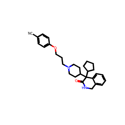 N#Cc1ccc(OCCCN2CCC(C3(C4CCCC4)C(=O)NCc4ccccc43)CC2)cc1